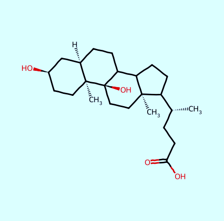 C[C@H](CCC(=O)O)C1CCC2C3CC[C@@H]4C[C@H](O)CC[C@]4(C)[C@@]3(O)CC[C@@]21C